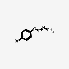 PN=POc1ccc(Br)cc1